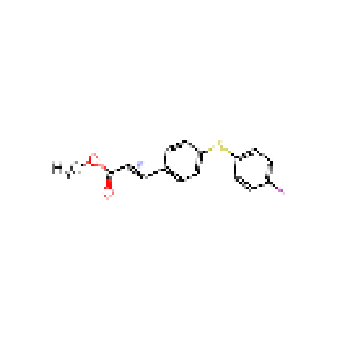 COC(=O)/C=C/c1ccc(Sc2ccc(I)cc2)cc1